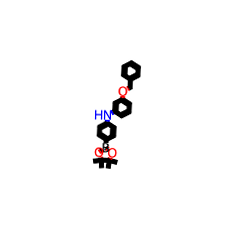 CC1(C)OB(c2ccc(Nc3cccc(OCc4ccccc4)c3)cc2)OC1(C)C